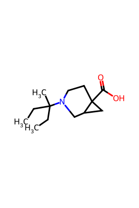 CCC(C)(CC)N1CCC2(C(=O)O)CC2C1